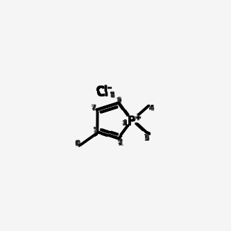 CC1=C[P+](C)(C)C=C1.[Cl-]